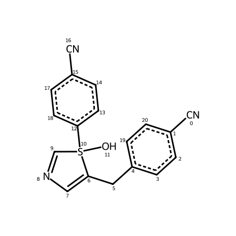 N#Cc1ccc(CC2=CN=CS2(O)c2ccc(C#N)cc2)cc1